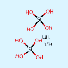 O[Si](O)(O)O.O[Si](O)(O)O.[LiH].[LiH]